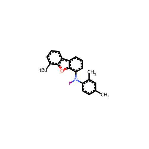 Cc1ccc(N(I)c2cccc3c2oc2c(C(C)(C)C)cccc23)c(C)c1